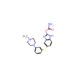 CN1CCN(c2cccc(Sc3ccc4[nH]c(OC(N)=O)nc4c3)c2)CC1